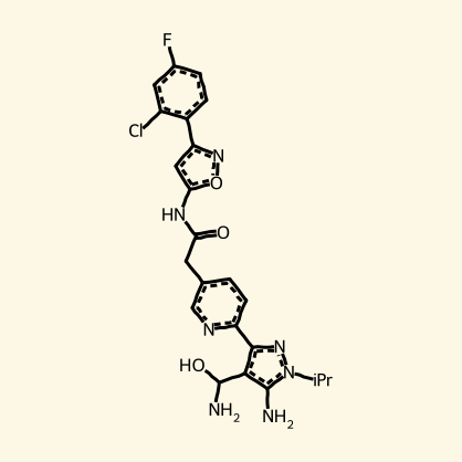 CC(C)n1nc(-c2ccc(CC(=O)Nc3cc(-c4ccc(F)cc4Cl)no3)cn2)c(C(N)O)c1N